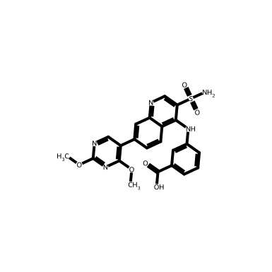 COc1ncc(-c2ccc3c(Nc4cccc(C(=O)O)c4)c(S(N)(=O)=O)cnc3c2)c(OC)n1